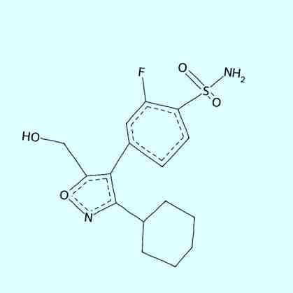 NS(=O)(=O)c1ccc(-c2c(C3CCCCC3)noc2CO)cc1F